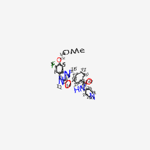 COCCOc1cc2c(cc1F)n(C)c(=O)n2C[C@H]1CC[C@H](C(=O)Nc2ccncc2)CC1